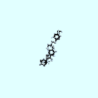 COc1ccc(OC[C@@H]2COc3cc(C(=O)N[C@H]4CN5CCC4CC5)ccc3O2)cc1